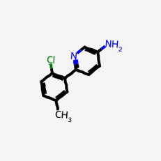 Cc1ccc(Cl)c(-c2ccc(N)cn2)c1